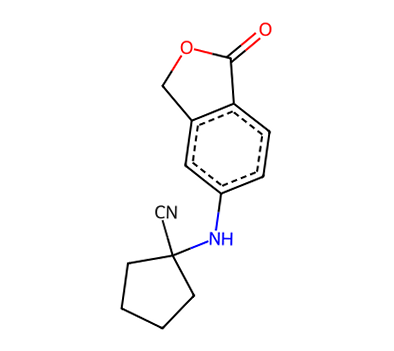 N#CC1(Nc2ccc3c(c2)COC3=O)CCCC1